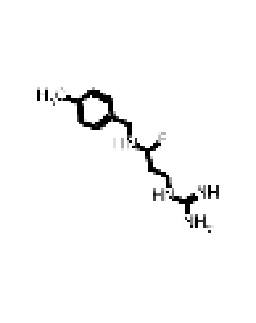 Cc1ccc(CNC(F)CCNC(=N)N)cc1